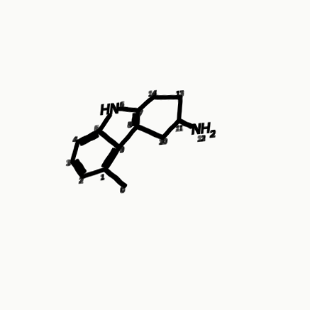 Cc1cccc2[nH]c3c(c12)CC(N)CC3